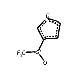 [O-][S+](c1cc[nH]c1)C(F)(F)F